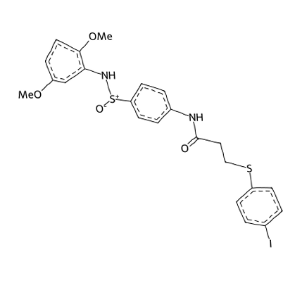 COc1ccc(OC)c(N[S+]([O-])c2ccc(NC(=O)CCSc3ccc(I)cc3)cc2)c1